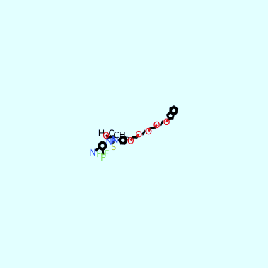 CC1(C)C(=O)N(c2ccc(C#N)c(C(F)(F)F)c2)C(=S)N1c1ccc(OCCOCCOCCOCCOC2Cc3ccccc3C2)cc1